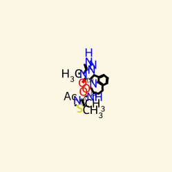 CC(=O)N1CSC(C)(C)[C@H]1C(=O)N[C@H]1CCc2cccc3c2N(C1=O)[C@H](C(=O)N(C)c1c[nH]nn1)C3